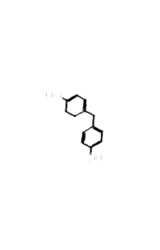 OC1=CC=C(Cc2ccc(O)cc2)CC1